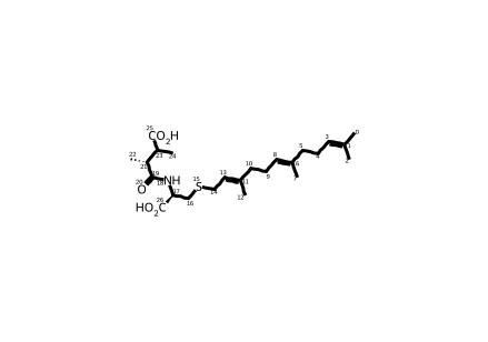 CC(C)=CCC/C(C)=C/CC/C(C)=C/CSC[C@H](NC(=O)[C@H](C)C(C)C(=O)O)C(=O)O